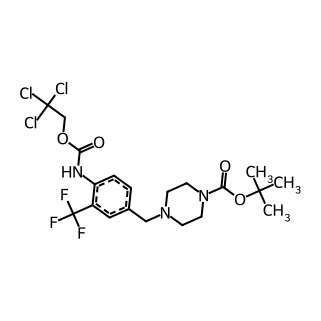 CC(C)(C)OC(=O)N1CCN(Cc2ccc(NC(=O)OCC(Cl)(Cl)Cl)c(C(F)(F)F)c2)CC1